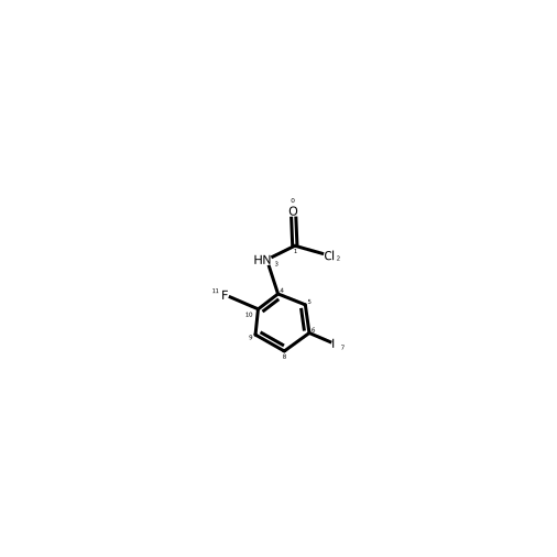 O=C(Cl)Nc1cc(I)ccc1F